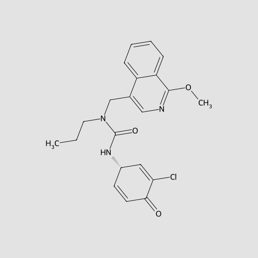 CCCN(Cc1cnc(OC)c2ccccc12)C(=O)N[C@H]1C=CC(=O)C(Cl)=C1